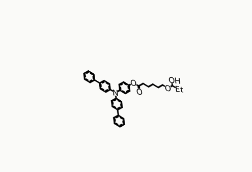 CCC(O)OCCCCCC(=O)Oc1ccc(N(c2ccc(-c3ccccc3)cc2)c2ccc(-c3ccccc3)cc2)cc1